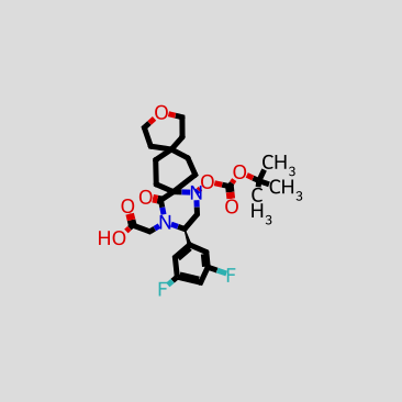 CC(C)(C)OC(=O)ON1C[C@@H](c2cc(F)cc(F)c2)N(CC(=O)O)C(=O)C12CCC1(CCOCC1)CC2